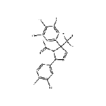 CC(=O)C1C(c2ccc(F)c(Br)c2)N=CC1(c1cc(Cl)c(Cl)c(Cl)c1)C(F)(F)F